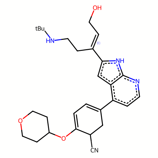 CC(C)(C)NCC/C(=C\CO)c1cc2c(C3=CC=C(OC4CCOCC4)C(C#N)C3)ccnc2[nH]1